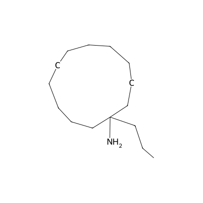 CCCC1(N)CCCCCCCCCCC1